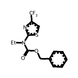 CCN(C(=O)OCc1ccccc1)c1nc(C(F)(F)F)cs1